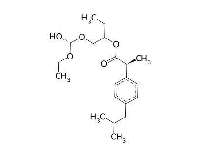 CCO[C@H](O)OCC(CC)OC(=O)[C@@H](C)c1ccc(CC(C)C)cc1